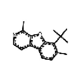 Cc1ccc2c(oc3c(C)nccc32)c1C(C)(C)C